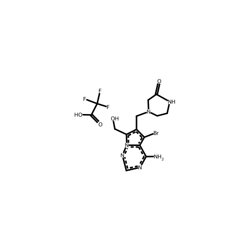 Nc1ncnn2c(CO)c(CN3CCNC(=O)C3)c(Br)c12.O=C(O)C(F)(F)F